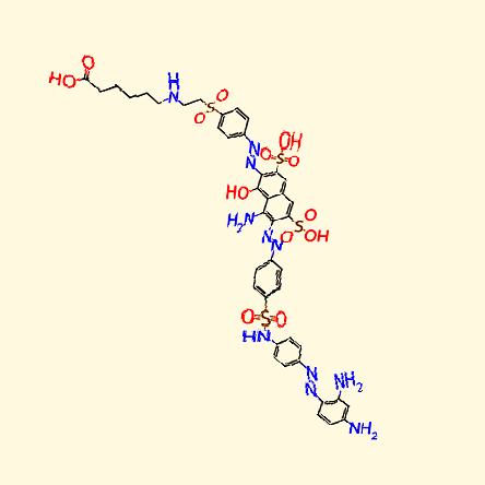 Nc1ccc(N=Nc2ccc(NS(=O)(=O)c3ccc(N=Nc4c(S(=O)(=O)O)cc5cc(S(=O)(=O)O)c(N=Nc6ccc(S(=O)(=O)CCNCCCCCC(=O)O)cc6)c(O)c5c4N)cc3)cc2)c(N)c1